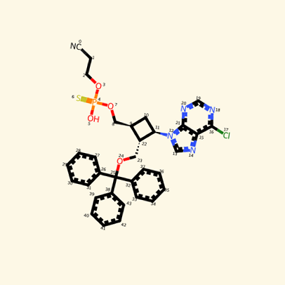 N#CCCOP(O)(=S)OC[C@H]1C[C@@H](n2cnc3c(Cl)ncnc32)[C@@H]1COC(c1ccccc1)(c1ccccc1)c1ccccc1